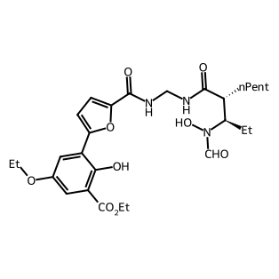 CCCCC[C@@H](C(=O)NCNC(=O)c1ccc(-c2cc(OCC)cc(C(=O)OCC)c2O)o1)[C@@H](CC)N(O)C=O